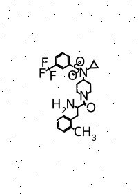 Cc1ccccc1CC(N)C(=O)N1CCC(N(C2CC2)S(=O)(=O)c2cccc(C(F)(F)F)c2)CC1